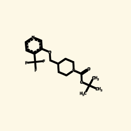 CC(C)(C)OC(=O)N1CCC(COc2cnccc2C(F)(F)F)CC1